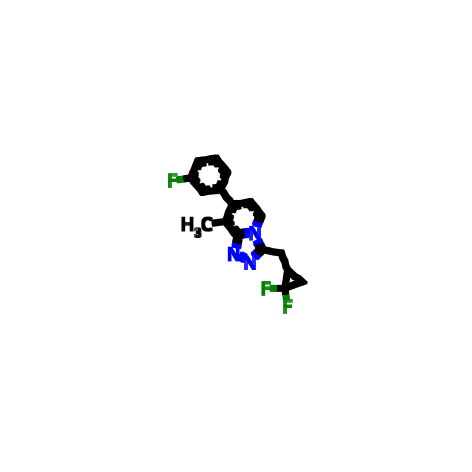 Cc1c(-c2cccc(F)c2)ccn2c(CC3CC3(F)F)nnc12